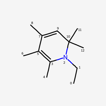 CCN1C(C)=C(C)C(C)=CC1(C)C